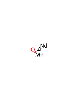 [Nd].[O]=[Mn].[Zr]